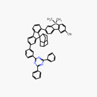 C[Si]1(C)c2ccc(C#N)cc2-c2ccc(-c3cccc4c3C3(c5cc(-c6cccc(-c7nc(-c8ccccc8)nc(-c8ccccc8)n7)c6)ccc5-4)C4CC5CC(C4)CC3C5)cc21